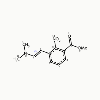 COC(=O)c1cccc(/C=C/N(C)C)c1[N+](=O)[O-]